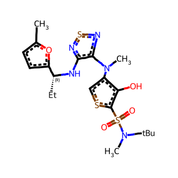 CC[C@@H](Nc1nsnc1N(C)c1csc(S(=O)(=O)N(C)C(C)(C)C)c1O)c1ccc(C)o1